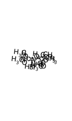 Br.CCOc1cc2c(cc1C(=O)NC)C(=N)N(CC(=O)c1cc(OS(C)(=O)=O)c(OC)c(C(C)(C)C)c1)C2